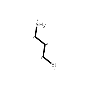 CCCCC[SiH2]